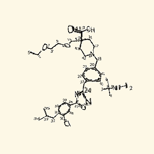 CC(C)(C)N.CCOCCOCC1(C(=O)O)CCN(Cc2ccc(-c3noc(-c4ccc(CC(C)C)c(Cl)c4)n3)cc2)CC1